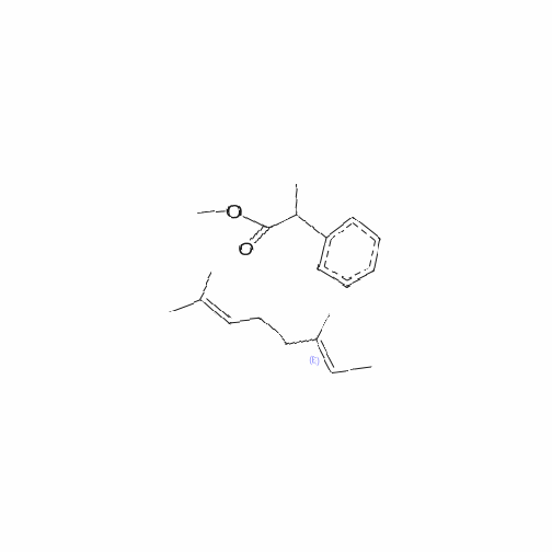 C/C=C(\C)CCC=C(C)C.COC(=O)C(C)c1ccccc1